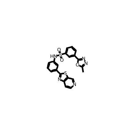 Cc1nnc(-c2cccc(S(=O)(=O)Nc3cccc(-c4nc5ccncc5s4)c3)c2)o1